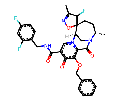 CC1=NO[C@]2(CC[C@H](C)N3C[C@H]2n2cc(C(=O)NCc4ccc(F)cc4F)c(=O)c(OCc4ccccc4)c2C3=O)C1F